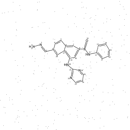 NN=Cc1ccc2cc(C(=O)Nc3ccccc3)cc(Nc3ncccn3)c2c1